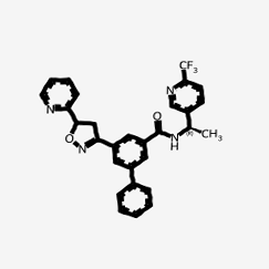 C[C@@H](NC(=O)c1cc(C2=NOC(c3ccccn3)C2)cc(-c2ccccc2)c1)c1ccc(C(F)(F)F)nc1